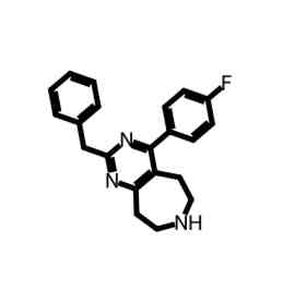 Fc1ccc(-c2nc(Cc3ccccc3)nc3c2CCNCC3)cc1